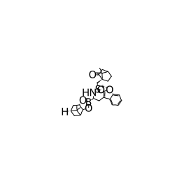 CC1(C)C2C[C@H]1CC1OB(C(Cc3coc4ccccc34)N[S+]([O-])C[C@@]34CCC(CC3=O)C4(C)C)OC12